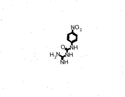 N=C(N)NC(=O)Nc1ccc([N+](=O)[O-])cc1